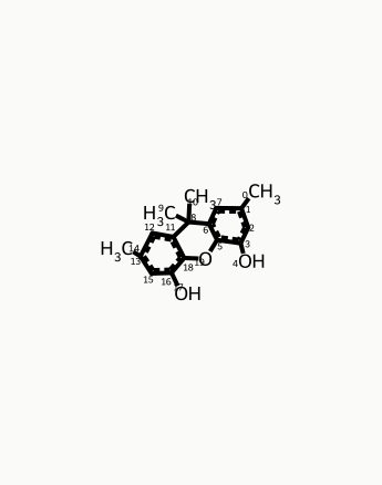 Cc1cc(O)c2c(c1)C(C)(C)c1cc(C)cc(O)c1O2